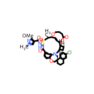 COc1nn(C)cc1C(=O)N[S@@]1(=O)=NC(=O)c2ccc3c(c2)N(C[C@@H]2CC[C@H]2[C@@H]2/C=C/C(OCCCC(=O)O2)[C@H](C)C1)C[C@@]1(CCCc2cc(Cl)ccc21)CO3